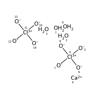 O.O.O.O.[Ca+2].[O-][Cl+3]([O-])([O-])[O-].[O-][Cl+3]([O-])([O-])[O-]